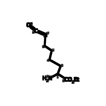 CCOC(=O)C(N)CCCCN=C=O